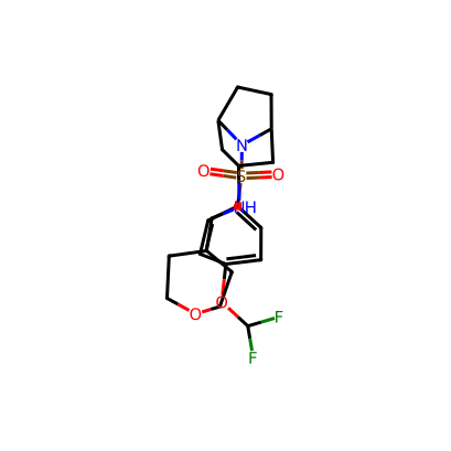 O=S(=O)(c1ccc(OC(F)F)cc1)N1C2CCC1CC(NCC1CCOCC1)C2